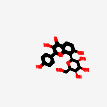 O=c1c(O)c(-c2ccc(O)cc2)oc2c([C@@H]3O[C@H](CO)[C@@H](O)[C@H](O)[C@H]3O)c(O)ccc12